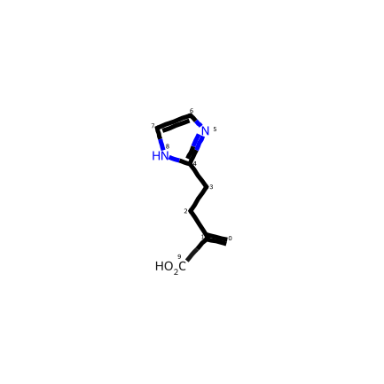 C=C(CCc1ncc[nH]1)C(=O)O